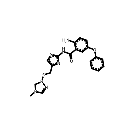 CN1C=NN(SCc2csc(NC(=O)c3cc(Oc4ccccc4)ccc3N)n2)C1